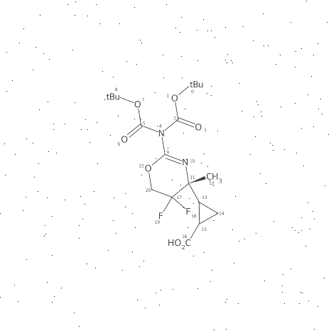 CC(C)(C)OC(=O)N(C(=O)OC(C)(C)C)C1=N[C@](C)(C2CC2C(=O)O)C(F)(F)CO1